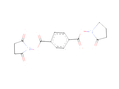 O=C(ON1CCCC1=O)c1ccc(C(=O)ON2C(=O)CCC2=O)cc1